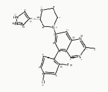 Cc1ncc2c(-c3ccc(Cl)cc3F)cc(N3CCO[C@@H](c4cn[nH]c4)C3)cc2n1